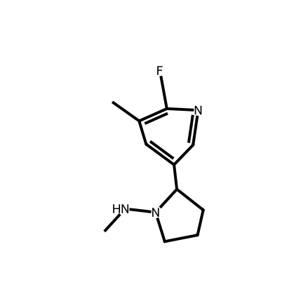 CNN1CCCC1c1cnc(F)c(C)c1